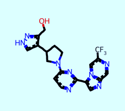 OCc1n[nH]cc1C1CCN(c2ccnc(-c3cnc4cnc(C(F)(F)F)cn34)n2)C1